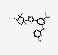 CC1(C)C[C@](O)(c2ncc(-c3cc(Nc4nccc(C(F)(F)F)n4)cc(C(F)F)c3)s2)CC[C@H]1C(=O)O